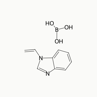 C=Cn1cnc2ccccc21.OB(O)O